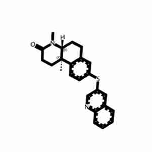 CN1C(=O)CC[C@]2(C)c3ccc(Sc4cnc5ccccc5c4)cc3CC[C@@H]12